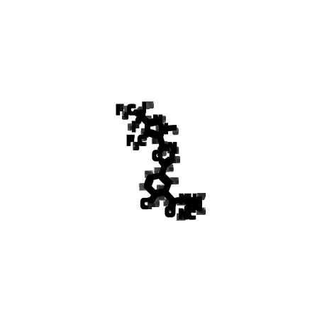 Cn1nc(C(F)(F)C(F)(F)F)c(C(F)(F)F)c1-c1ncc(-c2ccc(Cl)c(C(=O)NC3(C#N)CC3)c2)o1